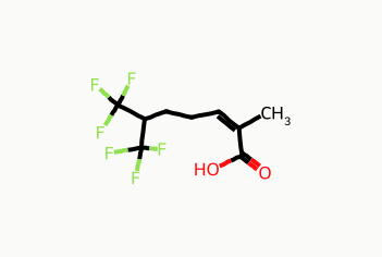 CC(=CCCC(C(F)(F)F)C(F)(F)F)C(=O)O